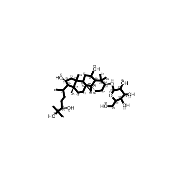 CC(CC[C@@H](O)C(C)(C)O)C1[C@@H](O)CC2(C)C3CC(O)C4C(C)(C)[C@@H](OC5OC(CO)C(O)C(O)C5O)CC[C@@]45C[C@@]35CC[C@]12C